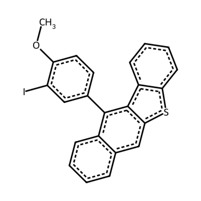 COc1ccc(-c2c3ccccc3cc3sc4ccccc4c23)cc1I